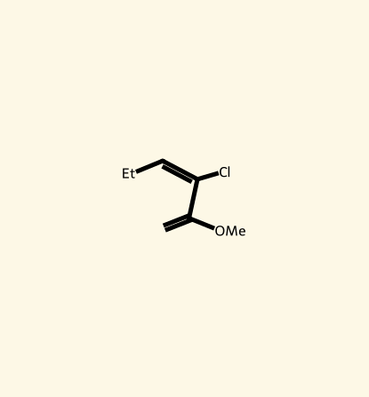 C=C(OC)/C(Cl)=C\CC